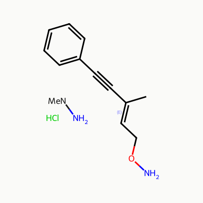 C/C(C#Cc1ccccc1)=C\CON.CNN.Cl